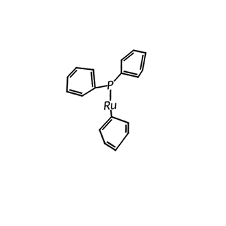 c1cc[c]([Ru][P](c2ccccc2)c2ccccc2)cc1